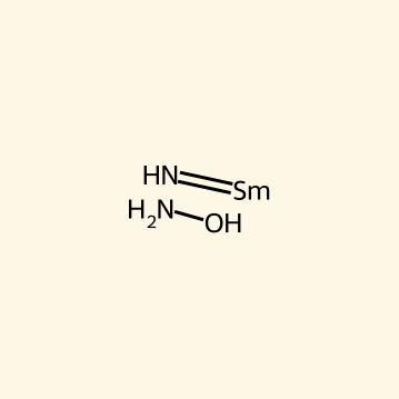 NO.[NH]=[Sm]